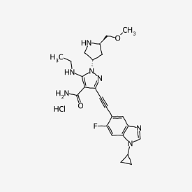 CCNc1c(C(N)=O)c(C#Cc2cc3ncn(C4CC4)c3cc2F)nn1[C@@H]1CN[C@@H](COC)C1.Cl